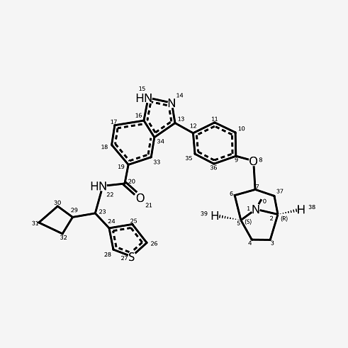 CN1[C@@H]2CC[C@H]1CC(Oc1ccc(-c3n[nH]c4ccc(C(=O)NC(c5ccsc5)C5CCC5)cc34)cc1)C2